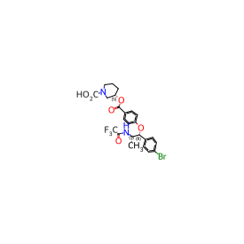 C[C@H](NC(=O)C(F)(F)F)[C@H](Oc1ccc(C(=O)O[C@H]2CCCN(C(=O)O)C2)cc1)c1ccc(Br)cc1